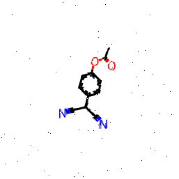 CC(=O)Oc1ccc(C(C#N)C#N)cc1